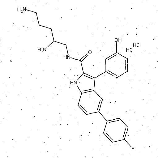 Cl.Cl.NCCCC(N)CNC(=O)c1[nH]c2ccc(-c3ccc(F)cc3)cc2c1-c1cccc(O)c1